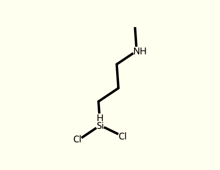 CNCCC[SiH](Cl)Cl